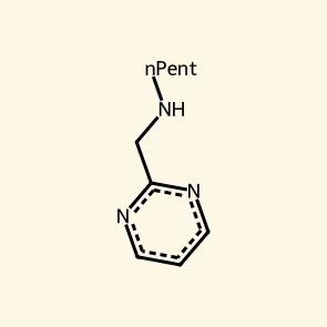 CCCCCNCc1ncccn1